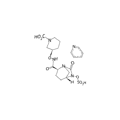 O=C(NO[C@@H]1CCCN(C(=O)O)C1)[C@@H]1CC[C@@H]2CN1C(=O)N2OS(=O)(=O)O.c1ccncc1